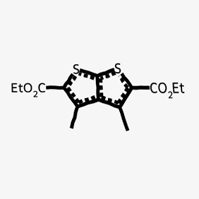 CCOC(=O)c1sc2sc(C(=O)OCC)c(C)c2c1C